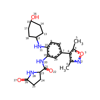 Cc1noc(C)c1-c1ccc(NC2CCC(O)CC2)c(NC(=O)C2CCC(=O)N2)c1